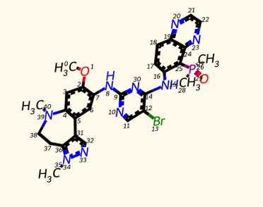 COc1cc2c(cc1Nc1ncc(Br)c(Nc3ccc4nccnc4c3P(C)(C)=O)n1)-c1cnn(C)c1CCN2C